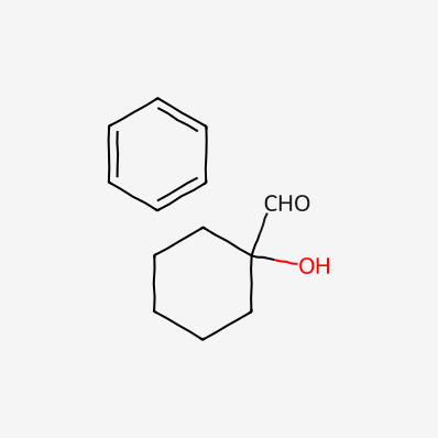 O=CC1(O)CCCCC1.c1ccccc1